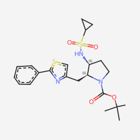 CC(C)(C)OC(=O)N1CC[C@H](NS(=O)(=O)C2CC2)[C@@H]1Cc1csc(-c2ccccc2)n1